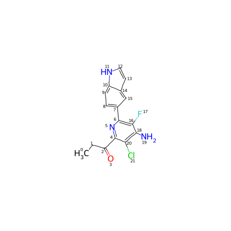 CCC(=O)c1nc(-c2ccc3[nH]ccc3c2)c(F)c(N)c1Cl